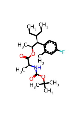 CCC(CC)[C@@H](c1ccc(F)cc1C)[C@H](C)OC(=O)[C@H](C)NC(=O)OC(C)(C)C